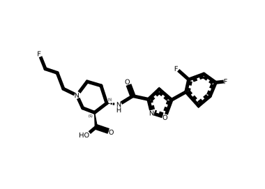 O=C(N[C@H]1CCN(CCCF)C[C@@H]1C(=O)O)c1cc(-c2ccc(F)cc2F)on1